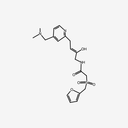 CN(C)Cc1ccnc(C/C=C(\O)CNC(=O)CS(=O)(=O)Cc2ccco2)c1